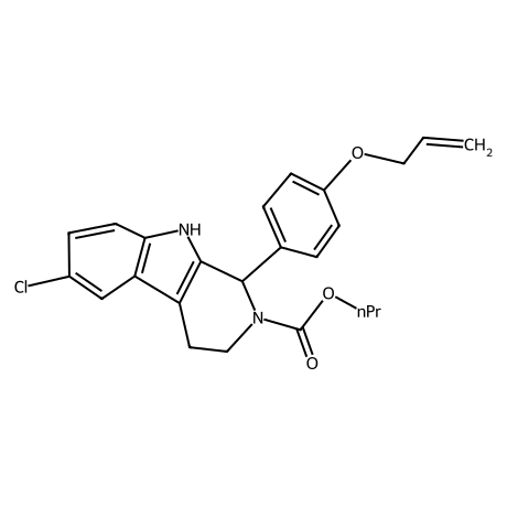 C=CCOc1ccc(C2c3[nH]c4ccc(Cl)cc4c3CCN2C(=O)OCCC)cc1